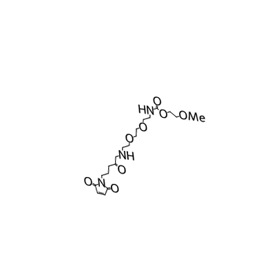 COCCOC(=O)NCCOCCOCCNCC(=O)CCCN1C(=O)C=CC1=O